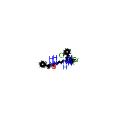 O=C(NCCCCNc1cc(-c2ccccc2Cl)nc2c(Br)cnn12)N[C@@H]1CC1c1ccccc1